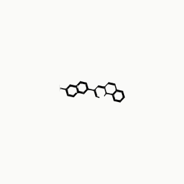 C/C=C(\C=C1\C=Cc2ccccc2C1C)c1ccc2cc(I)ccc2c1